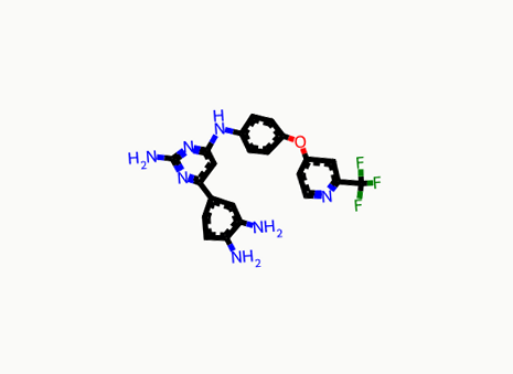 Nc1nc(Nc2ccc(Oc3ccnc(C(F)(F)F)c3)cc2)cc(-c2ccc(N)c(N)c2)n1